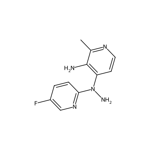 Cc1nccc(N(N)c2ccc(F)cn2)c1N